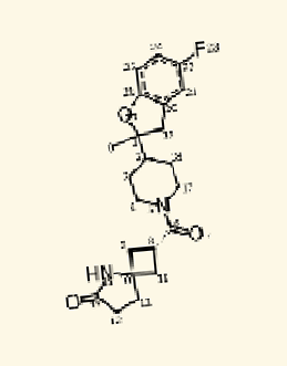 CC1(C2CCN(C(=O)[C@H]3C[C@]4(CCC(=O)N4)C3)CC2)Cc2cc(F)ccc2O1